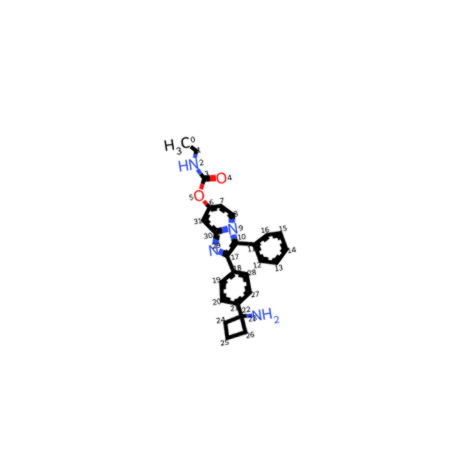 CCNC(=O)Oc1ccn2c(-c3ccccc3)c(-c3ccc(C4(N)CCC4)cc3)nc2c1